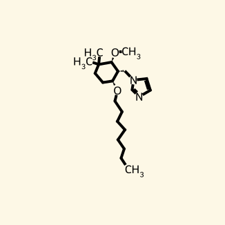 CCCCCCCCO[C@@H]1CCC(C)(C)[C@H](OC)[C@@H]1Cn1ccnc1